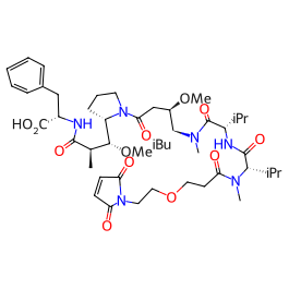 CC[C@H](C)[C@@H]([C@@H](CC(=O)N1CCC[C@H]1[C@H](OC)[C@@H](C)C(=O)N[C@@H](Cc1ccccc1)C(=O)O)OC)N(C)C(=O)[C@@H](NC(=O)[C@H](C(C)C)N(C)C(=O)CCOCCN1C(=O)C=CC1=O)C(C)C